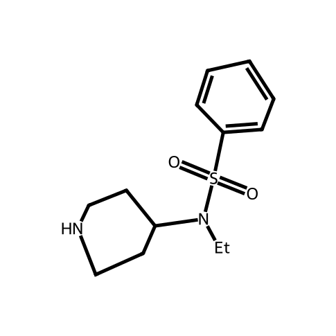 CCN(C1CCNCC1)S(=O)(=O)c1ccccc1